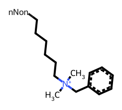 CCCCCCCCCCCCCCC[N+](C)(C)Cc1ccccc1